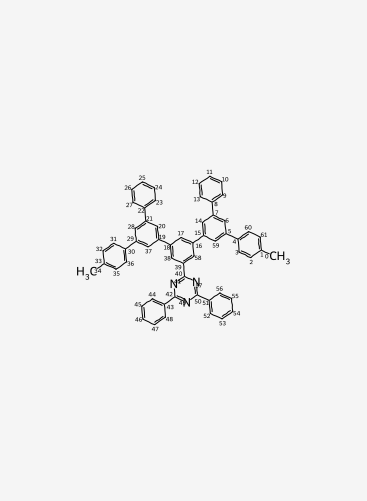 Cc1ccc(-c2cc(-c3ccccc3)cc(-c3cc(-c4cc(-c5ccccc5)cc(-c5ccc(C)cc5)c4)cc(-c4nc(-c5ccccc5)nc(-c5ccccc5)n4)c3)c2)cc1